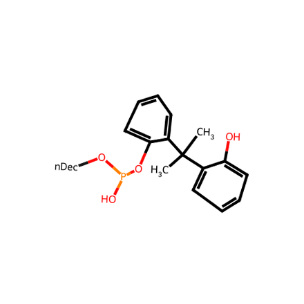 CCCCCCCCCCOP(O)Oc1ccccc1C(C)(C)c1ccccc1O